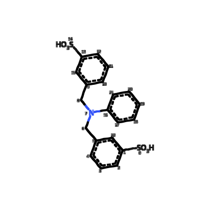 O=S(=O)(O)c1cccc(CN(Cc2cccc(S(=O)(=O)O)c2)c2ccccc2)c1